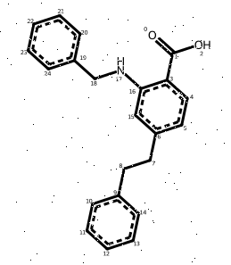 O=C(O)c1ccc(CCc2ccccc2)cc1NCc1ccccc1